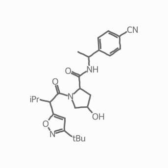 CC(NC(=O)C1CC(O)CN1C(=O)C(c1cc(C(C)(C)C)no1)C(C)C)c1ccc(C#N)cc1